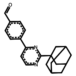 O=Cc1ccc(-c2ccnc(C34CC5CC(CC(C5)C3)C4)n2)cc1